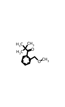 COCc1ccccc1C(=O)C(C)(C)C